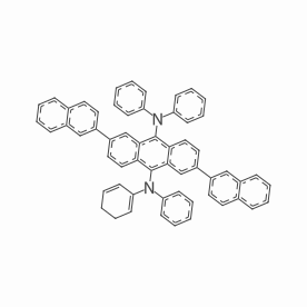 C1=CC(N(c2ccccc2)c2c3cc(-c4ccc5ccccc5c4)ccc3c(N(c3ccccc3)c3ccccc3)c3cc(-c4ccc5ccccc5c4)ccc23)=CCC1